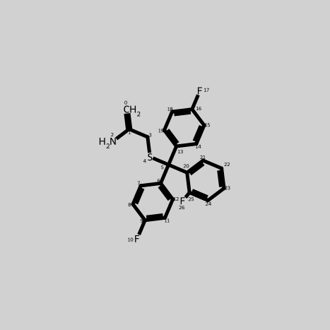 C=C(N)CSC(c1ccc(F)cc1)(c1ccc(F)cc1)c1ccccc1F